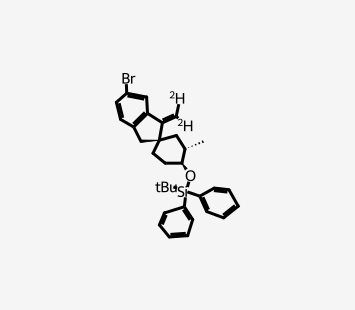 [2H]C([2H])=C1c2cc(Br)ccc2C[C@@]12CC[C@H](O[Si](c1ccccc1)(c1ccccc1)C(C)(C)C)[C@@H](C)C2